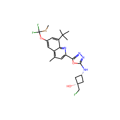 CSC(F)(F)Oc1cc(C(C)(C)C)c2nc(-c3nnc(N[C@H]4C[C@](O)(CF)C4)o3)cc(C)c2c1